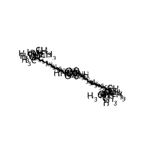 CCC1(C)CC(CCCCCCCCCCCCNP2OCC3(CO2)COP(NCCCCCCCCCCCCC2CC(C)(CC)NC(C)(CC)C2C)OC3)C(C)C(C)(CC)N1